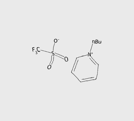 CCCC[n+]1ccccc1.O=S(=O)([O-])C(F)(F)F